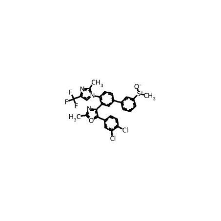 Cc1nc(-c2cc(-c3cccc([S+](C)[O-])c3)ccc2-n2cc(C(F)(F)F)nc2C)c(-c2ccc(Cl)c(Cl)c2)o1